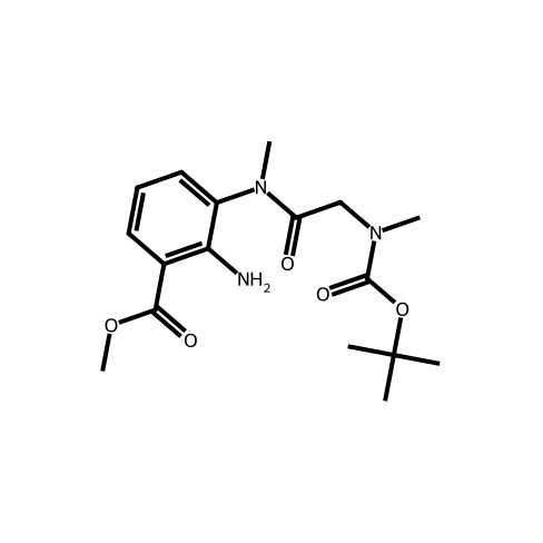 COC(=O)c1cccc(N(C)C(=O)CN(C)C(=O)OC(C)(C)C)c1N